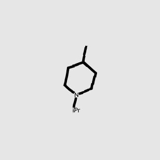 C[C]1CCN(C(C)C)CC1